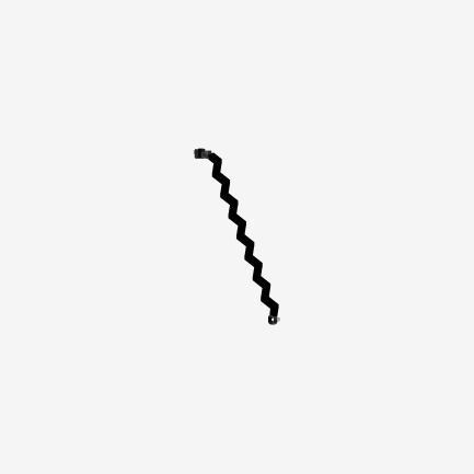 CC(C)(C)CCCCCCCCCCCCCCC[O]